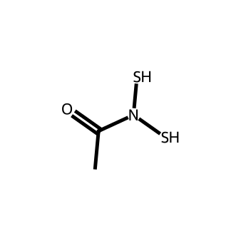 CC(=O)N(S)S